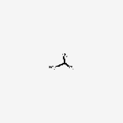 O=C(O)[C](C(F)(F)F)C(F)(F)F